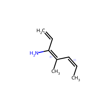 C=C/C(N)=C(C)\C=C/C